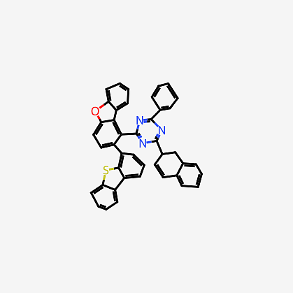 C1=CC(c2nc(-c3ccccc3)nc(-c3c(-c4cccc5c4sc4ccccc45)ccc4oc5ccccc5c34)n2)Cc2ccccc21